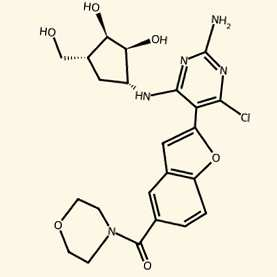 Nc1nc(Cl)c(-c2cc3cc(C(=O)N4CCOCC4)ccc3o2)c(N[C@@H]2C[C@H](CO)[C@@H](O)[C@H]2O)n1